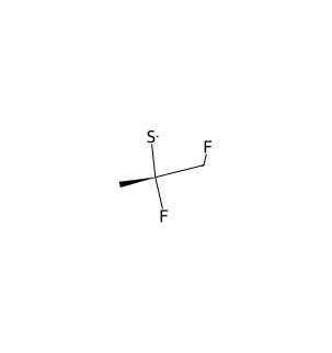 C[C@@](F)([S])CF